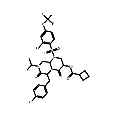 CC(C)N1CC2N(C(=O)C(NC(=O)C3CCC3)CN2S(=O)(=O)c2ccc(OC(F)(F)F)cc2Cl)C(Cc2ccc(Cl)cc2)C1=O